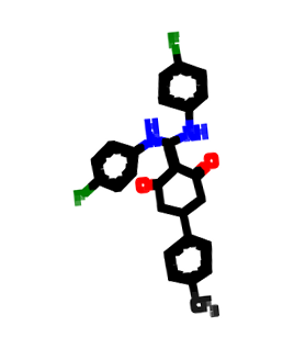 O=C1CC(c2ccc(C(F)(F)F)cc2)CC(=O)C1=C(Nc1ccc(F)cc1)Nc1ccc(F)cc1